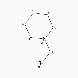 [2H]CN1CCCCC1